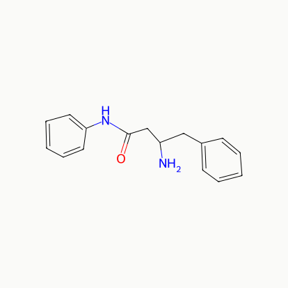 NC(CC(=O)Nc1ccccc1)Cc1ccccc1